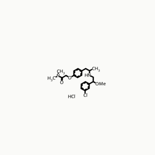 COC(CNC(C)Cc1ccc(OCC(=O)N(C)C)cc1)c1cccc(Cl)c1.Cl